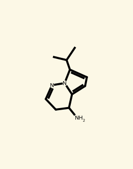 CC(C)c1ccc2n1N=CCC2N